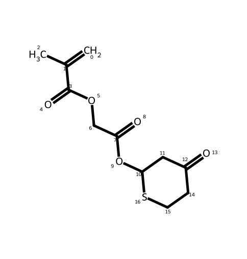 C=C(C)C(=O)OCC(=O)OC1CC(=O)CCS1